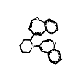 C1=CC(C2CCCCN2C2=Cc3ccccc3OC=C2)=Cc2ccccc2O1